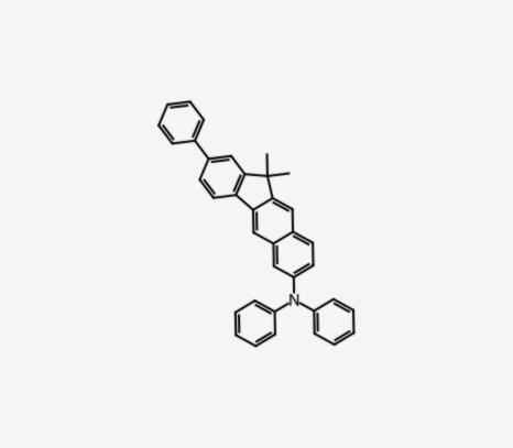 CC1(C)c2cc(-c3ccccc3)ccc2-c2cc3cc(N(c4ccccc4)c4ccccc4)ccc3cc21